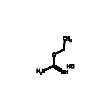 CCOC(=N)N.Cl